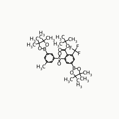 Cc1cc(B2OC(C)(C)C(C)(C)O2)cc(S(=O)(=O)c2cc(B3OC(C)(C)C(C)(C)O3)cc(C(F)(F)F)c2C(=O)OC(C)(C)C)c1